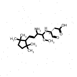 COC(N[C@@H](C=O)CC(=O)O)C(N)C=CC1C(C)(C)CCC1(C)C